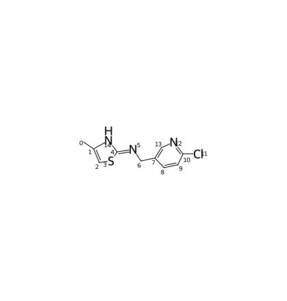 Cc1cs/c(=N\Cc2ccc(Cl)nc2)[nH]1